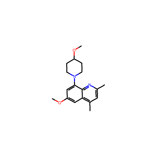 COc1cc(N2CCC(OC)CC2)c2nc(C)cc(C)c2c1